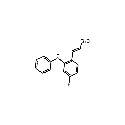 O=CC=Cc1ccc(F)cc1Nc1ccccc1